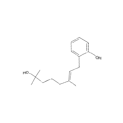 C/C(=C\Cc1ccccc1O)CCCC(C)(C)O